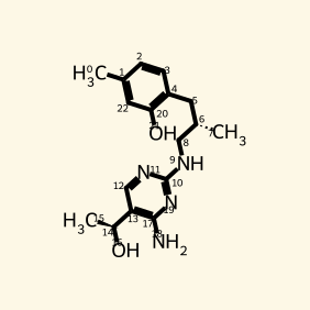 Cc1ccc(C[C@H](C)CNc2ncc([C@H](C)O)c(N)n2)c(O)c1